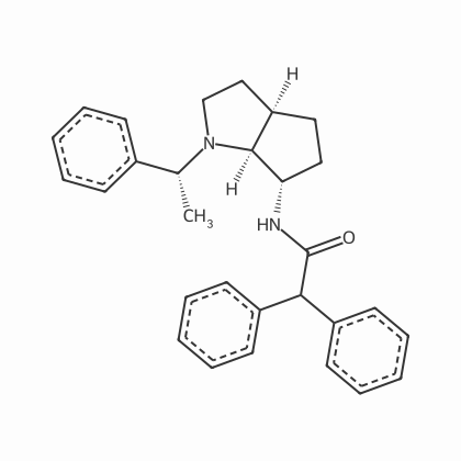 C[C@H](c1ccccc1)N1CC[C@H]2CC[C@H](NC(=O)C(c3ccccc3)c3ccccc3)[C@H]21